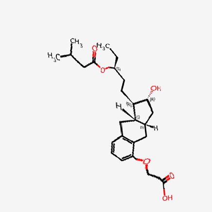 CC[C@@H](CC[C@@H]1[C@H]2Cc3cccc(OCC(=O)O)c3C[C@H]2C[C@H]1O)OC(=O)CC(C)C